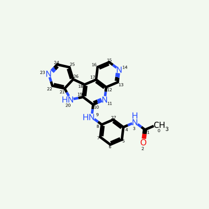 CC(=O)Nc1cccc(Nc2nc3cnccc3c3c2[nH]c2cnccc23)c1